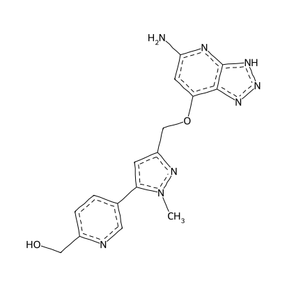 Cn1nc(COc2cc(N)nc3[nH]nnc23)cc1-c1ccc(CO)nc1